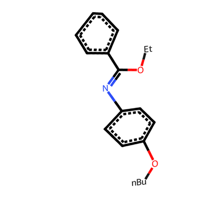 CCCCOc1ccc(N=C(OCC)c2ccccc2)cc1